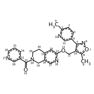 Cc1ccc(-c2noc(C)c2COc2cc3c(cn2)CN(C(=O)c2cccnc2)CC3)cn1